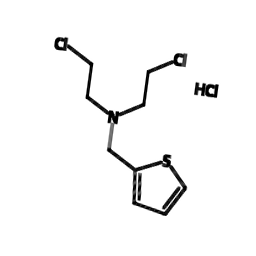 Cl.ClCCN(CCCl)Cc1cccs1